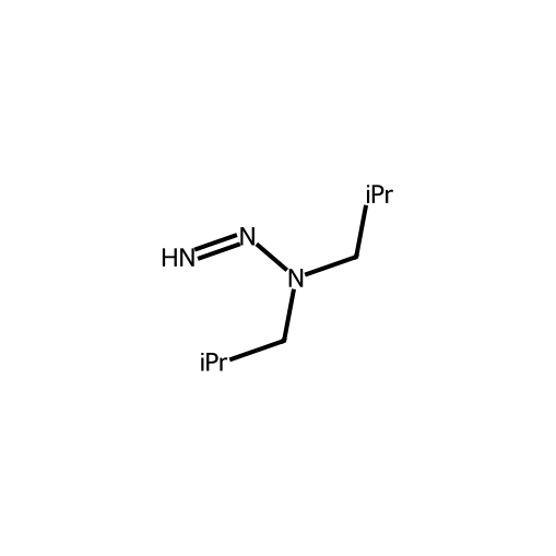 CC(C)CN(CC(C)C)N=N